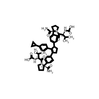 CC(C)[C@H](NC(=O)O)C(=O)N1CCC[C@@]1(C(N)=O)c1ccc(C2=C(c3ccc(C4CC4)cc3)C(c3ccc([C@]4(C(N)=O)CCCN4C(=O)[C@@H](NC(=O)O)C(C)C)cc3)CC2)cc1